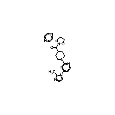 Cc1nccn1-c1ccnc(N2CCC(C(=O)N3OCC[C@H]3c3cnccn3)CC2)n1